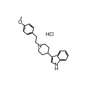 COc1ccc(CCN2CCC(c3c[nH]c4ccccc34)CC2)cc1.Cl